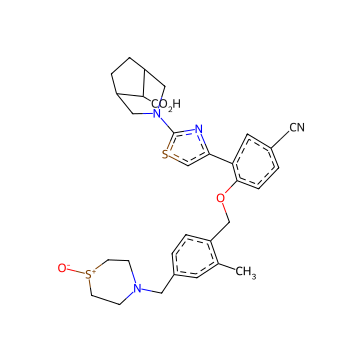 Cc1cc(CN2CC[S+]([O-])CC2)ccc1COc1ccc(C#N)cc1-c1csc(N2CC3CCC(C2)C3C(=O)O)n1